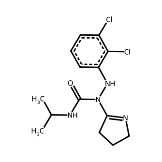 CC(C)NC(=O)N(Nc1cccc(Cl)c1Cl)C1=NCCC1